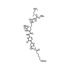 CCCCCCCCCCCCCCCC(=O)OC[C@H]1O[C@@H](n2ccc(NC(=O)[C@H](CCCCNC(=O)[C@H](CCCCN)NC(=O)OC(C)(C)C)NC(=O)OC(C)(C)C)nc2=O)C[C@@H]1O